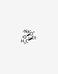 C[CH]C.[Na+].[O-]Cl